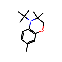 Cc1ccc2c(c1)OCC(C)(C)N2C(C)(C)C